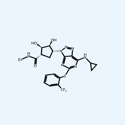 CCNC(=O)[C@H]1C[C@@H](n2nnc3c(NC4CC4)nc(Sc4ccccc4C(F)(F)F)nc32)[C@H](O)[C@@H]1O